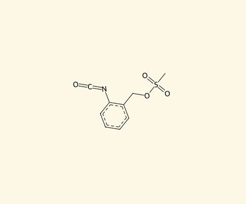 CS(=O)(=O)OCc1ccccc1N=C=O